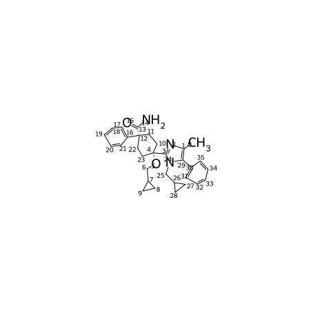 Cc1nc([C@]2(OCC3CC3)CC[C@](C(N)=O)(c3ccccc3)CC2)n(CC2CC2)c1-c1ccccc1